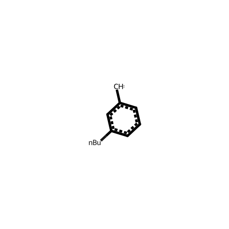 [CH]c1cccc(CCC[CH2])c1